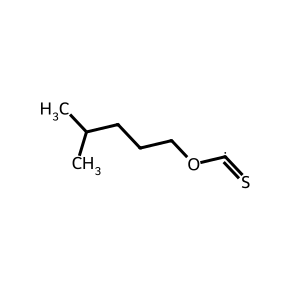 CC(C)CCCO[C]=S